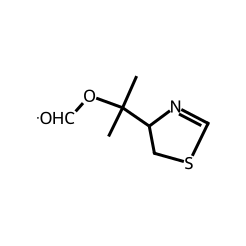 CC(C)(O[C]=O)C1CSC=N1